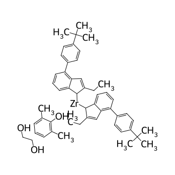 CCC1=Cc2c(-c3ccc(C(C)(C)C)cc3)cccc2[CH]1[Zr][CH]1C(CC)=Cc2c(-c3ccc(C(C)(C)C)cc3)cccc21.Cc1cccc(C)c1O.OCCO